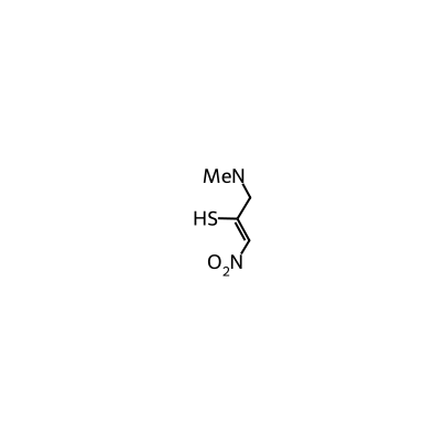 CNCC(S)=C[N+](=O)[O-]